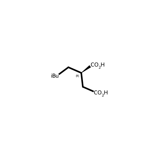 CCC(C)C[C@H](CC(=O)O)C(=O)O